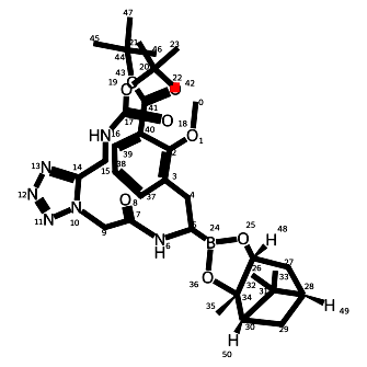 COc1c(CC(NC(=O)Cn2nnnc2CNC(=O)OC(C)(C)C)B2O[C@@H]3C[C@@H]4C[C@@H](C4(C)C)[C@]3(C)O2)cccc1C(=O)OC(C)(C)C